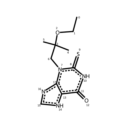 CCOC(C)(C)Cn1c(=S)[nH]c(=O)c2[nH]cnc21